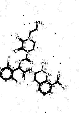 NCCN1CCN(C(=O)NC(C(=O)N[C@H]2Cc3cccc(C(=O)O)c3OB2O)c2c(F)cccc2F)C(=O)C1=O